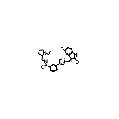 CCN1CCCC1CNC(=O)c1cccc(-c2coc(/C=C3/C(=O)Nc4ccc(F)cc43)c2)c1